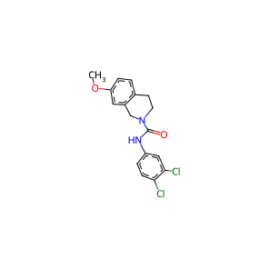 COc1ccc2c(c1)CN(C(=O)Nc1ccc(Cl)c(Cl)c1)CC2